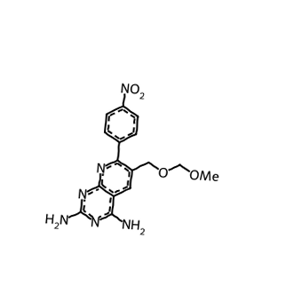 COCOCc1cc2c(N)nc(N)nc2nc1-c1ccc([N+](=O)[O-])cc1